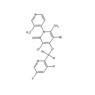 [2H]C([2H])(Oc1c(Br)c(C)n(-c2ccncc2C)c(=O)c1Cl)c1ncc(F)cc1F